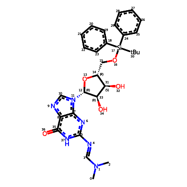 CN(C)C=Nc1nc2c(ncn2[C@@H]2O[C@H](CO[Si](c3ccccc3)(c3ccccc3)C(C)(C)C)[C@@H](O)[C@H]2O)c(=O)[nH]1